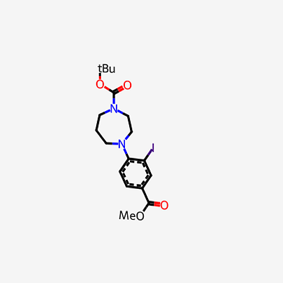 COC(=O)c1ccc(N2CCCN(C(=O)OC(C)(C)C)CC2)c(I)c1